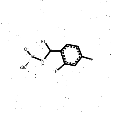 CCC(N[S@@+]([O-])C(C)(C)C)c1ccc(F)cc1F